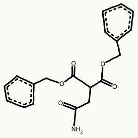 NC(=O)CC(C(=O)OCc1ccccc1)C(=O)OCc1ccccc1